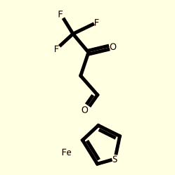 O=CCC(=O)C(F)(F)F.[Fe].c1ccsc1